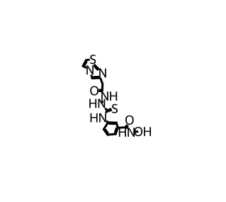 O=C(Cc1cn2ccsc2n1)NNC(=S)Nc1cccc(C(=O)NO)c1